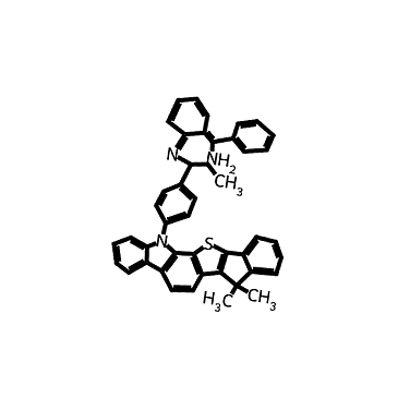 CCC(/N=C1/C=CC=C/C1=C(/N)c1ccccc1)c1ccc(-n2c3ccccc3c3ccc4c5c(sc4c32)-c2ccccc2C5(C)C)cc1